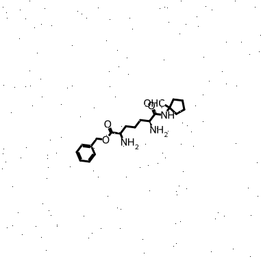 NC(CCC[C@H](N)C(=O)NC1([C]=O)CCCC1)C(=O)OCc1ccccc1